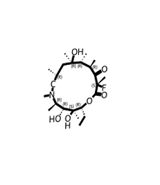 CC[C@H]1OC(=O)[C@@](C)(F)C(=O)[C@H](C)[C@@H](C)[C@](C)(O)C[C@@H](C)CN(C)[C@H](C)[C@@H](O)[C@]1(C)O